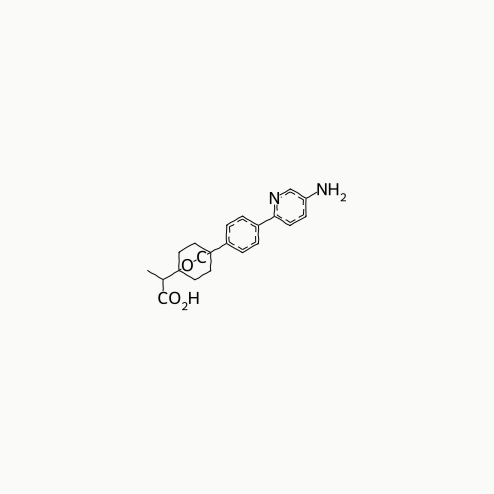 CC(C(=O)O)C12CCC(c3ccc(-c4ccc(N)cn4)cc3)(CC1)CO2